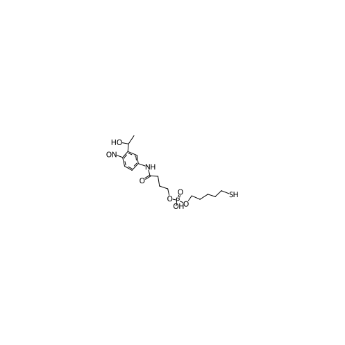 CC(O)c1cc(NC(=O)CCCOP(=O)(O)OCCCCCS)ccc1N=O